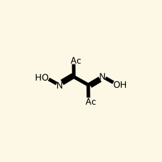 CC(=O)C(=N\O)/C(=N/O)C(C)=O